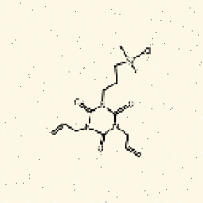 C=CCn1c(=O)n(CC=C)c(=O)n(CCC[Si](C)(C)Cl)c1=O